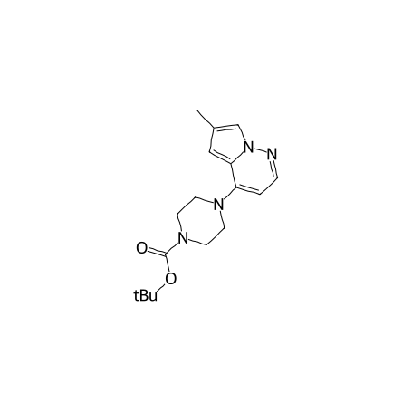 Cc1cc2c(N3CCN(C(=O)OC(C)(C)C)CC3)ccnn2c1